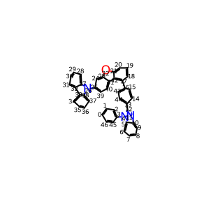 c1ccc([N+]23c4ccccc4N2C3c2ccc(-c3cccc4oc5cc(-n6c7ccccc7c7ccccc76)ccc5c34)cc2)cc1